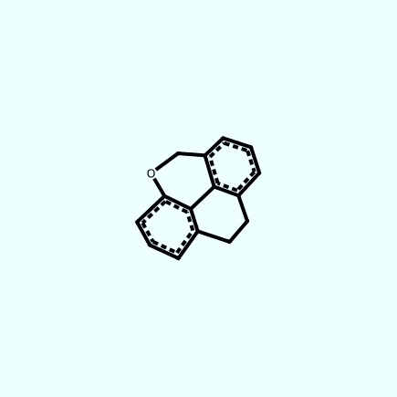 c1cc2c3c(c1)COc1cccc(c1-3)CC2